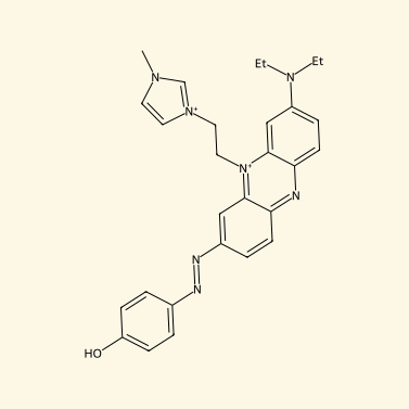 CCN(CC)c1ccc2nc3ccc(/N=N/c4ccc(O)cc4)cc3[n+](CC[n+]3ccn(C)c3)c2c1